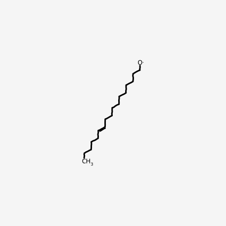 CCCCCC=CCCCCCCCCCC[O]